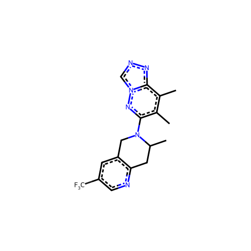 Cc1c(N2Cc3cc(C(F)(F)F)cnc3CC2C)nn2cnnc2c1C